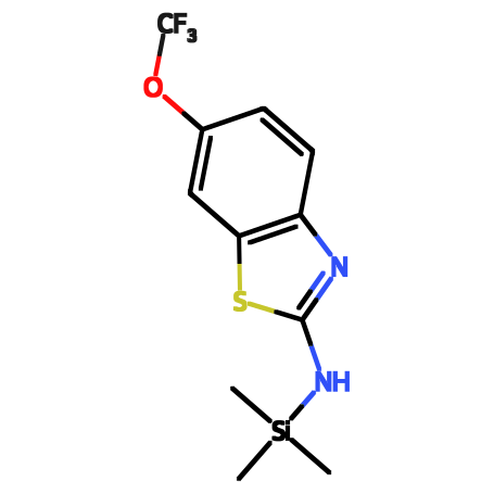 C[Si](C)(C)Nc1nc2ccc(OC(F)(F)F)cc2s1